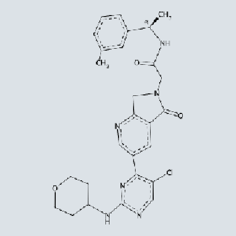 Cc1cccc([C@@H](C)NC(=O)CN2Cc3ncc(-c4nc(NC5CCOCC5)ncc4Cl)cc3C2=O)c1